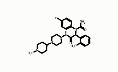 Cc1ccccc1C(C(=O)NN1CCN(C2CCN(C)CC2)CC1)N(C(N)=O)c1ccc(Cl)cc1